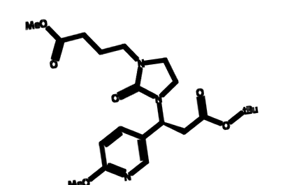 COC(=O)CCCN1CCN([C@@H](CC(=O)OC(C)(C)C)c2ccc(OC)nc2)C1=O